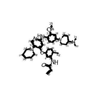 C=CC(=O)Nc1cc(Oc2cc(Nc3ccc(N4CCC(N(C)C)CC4)cc3OC)ncc2N2CCCCC2)ccc1C